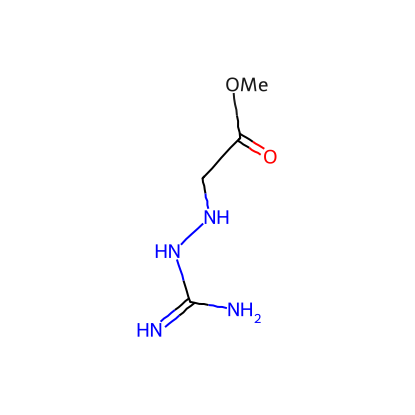 COC(=O)CNNC(=N)N